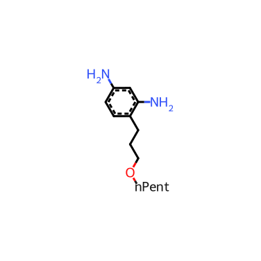 CCCCCOCCCc1ccc(N)cc1N